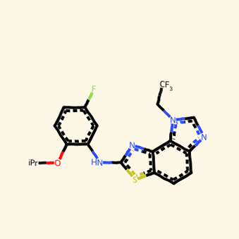 CC(C)Oc1ccc(F)cc1Nc1nc2c(ccc3ncn(CC(F)(F)F)c32)s1